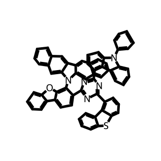 c1ccc(-n2c3ccccc3c3c(-c4nc(-c5ccc6c(oc7ccccc76)c5-n5c6cc7ccccc7cc6c6cc7ccccc7cc65)nc(-c5cccc6sc7ccccc7c56)n4)cccc32)cc1